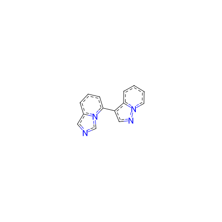 c1ccn2ncc(-c3cccc4cncn34)c2c1